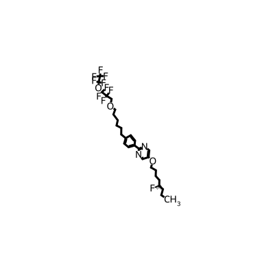 CCC[C@@H](F)CCCCOc1cnc(-c2ccc(CCCCCCOCC(F)(F)C(F)(F)OC(F)(F)C(F)(F)F)cc2)nc1